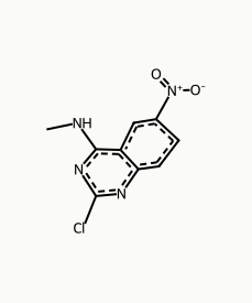 CNc1nc(Cl)nc2ccc([N+](=O)[O-])cc12